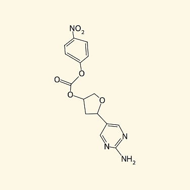 Nc1ncc(C2CC(OC(=O)Oc3ccc([N+](=O)[O-])cc3)CO2)cn1